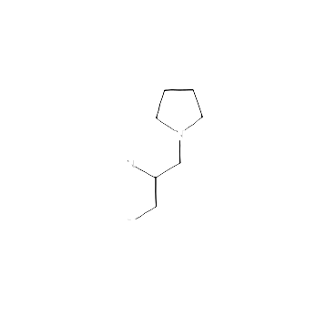 CC(C)CC(N)CN1CCCC1